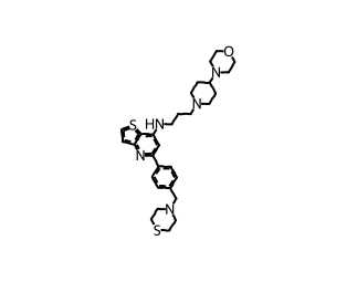 c1cc2nc(-c3ccc(CN4CCSCC4)cc3)cc(NCCCN3CCC(N4CCOCC4)CC3)c2s1